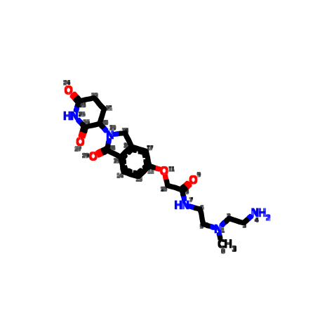 CN(CCN)CCNC(=O)COc1ccc2c(c1)CN(C1CCC(=O)NC1=O)C2=O